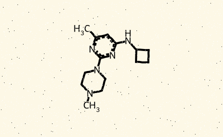 Cc1cc(NC2CCC2)nc(N2CCN(C)CC2)n1